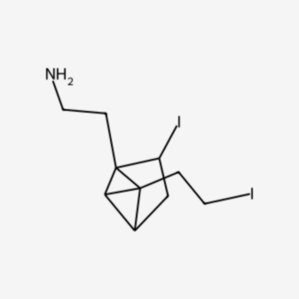 NCCC12C(I)CC3C1C32CCI